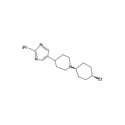 CC[C@H]1CC[C@@H](N2CCC(c3cnc(C(C)C)nc3)CC2)CC1